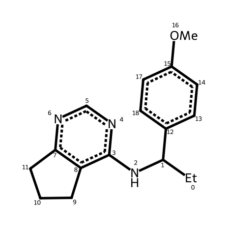 CCC(Nc1ncnc2c1CCC2)c1ccc(OC)cc1